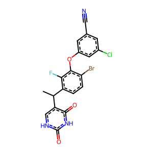 CC(c1ccc(Br)c(Oc2cc(Cl)cc(C#N)c2)c1F)c1c[nH]c(=O)[nH]c1=O